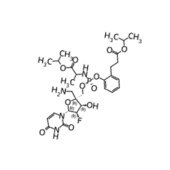 CC(C)OC(=O)CCc1ccccc1OP(=O)(NC(C)C(=O)OC(C)C)OC[C@@]1(CN)O[C@@H](n2ccc(=O)[nH]c2=O)[C@H](F)[C@@H]1O